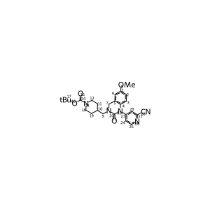 COc1ccc2c(c1)CN(CC1CCN(C(=O)OC(C)(C)C)CC1)C(=O)N2c1ccnc(C#N)c1